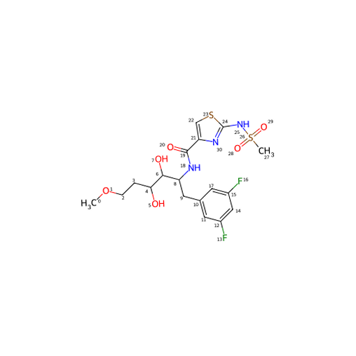 COCCC(O)C(O)C(Cc1cc(F)cc(F)c1)NC(=O)c1csc(NS(C)(=O)=O)n1